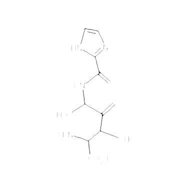 CC(NC(=O)c1ncc[nH]1)C(=O)C(C=O)C(N)C(=O)O